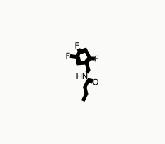 CCCC(=O)NCc1cc(F)c(F)cc1F